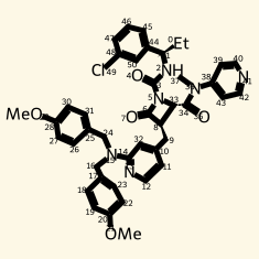 CC[C@@H](NC(=O)N1C(=O)[C@H](Cc2ccnc(N(Cc3ccc(OC)cc3)Cc3ccc(OC)cc3)c2)[C@H]1C(=O)N(C)c1ccncc1)c1cccc(Cl)c1